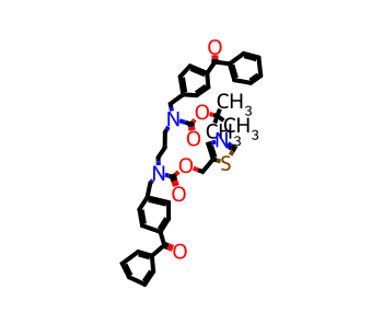 CC(C)(C)OC(=O)N(CCCN(Cc1ccc(C(=O)c2ccccc2)cc1)C(=O)OCc1cncs1)Cc1ccc(C(=O)c2ccccc2)cc1